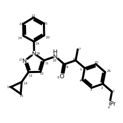 CC(C)Cc1ccc(C(C)C(=O)Nc2cc(C3CC3)nn2-c2ccccc2)cc1